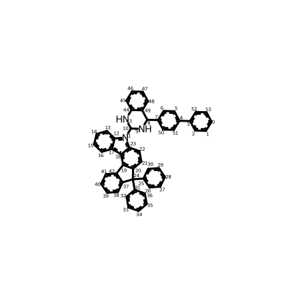 c1ccc(-c2ccc(C3NC(n4c5ccccc5c5c6c(ccc54)C(c4ccccc4)(c4ccccc4)c4ccccc4-6)Nc4ccccc43)cc2)cc1